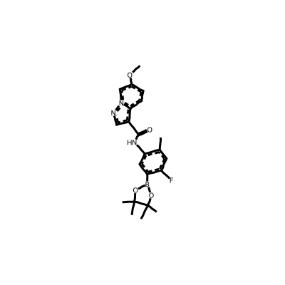 COc1ccc2c(C(=O)Nc3cc(B4OC(C)(C)C(C)(C)O4)c(F)cc3C)cnn2c1